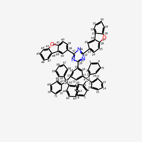 c1ccc([Si](c2ccccc2)(c2ccccc2)c2cc(-c3nc(-c4ccc5oc6ccccc6c5c4)nc(-c4ccc5oc6ccccc6c5c4)n3)cc([Si](c3ccccc3)(c3ccccc3)c3ccccc3)c2)cc1